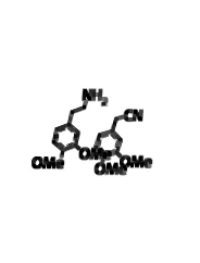 COc1ccc(CC#N)cc1OC.COc1ccc(CCN)cc1OC